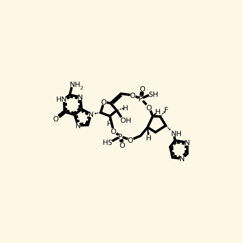 Nc1nc2c(ncn2[C@@H]2O/C3=C/OP(=O)(S)O[C@@H]4[C@@H](COP(=O)(S)O[C@@H]2[C@@H]3O)C[C@@H](Nc2ccncn2)[C@H]4F)c(=O)[nH]1